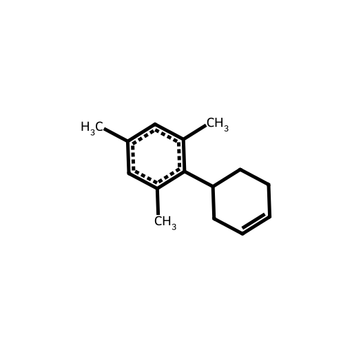 Cc1cc(C)c(C2CC=CCC2)c(C)c1